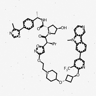 Cc1ncsc1-c1ccc([C@H](C)NC(=O)[C@@H]2C[C@@H](O)CN2C(=O)[C@H](c2cc(OCCN3CCC(O[C@H]4C[C@H](Oc5ncc(-c6ccc7c8cnccc8n(C)c7c6)cc5C(F)(F)F)C4)CC3)no2)C(C)C)cc1